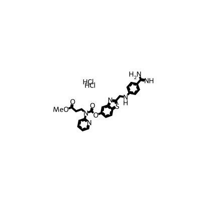 COC(=O)CCN(C(=O)Oc1ccc2sc(CNc3ccc(C(=N)N)cc3)nc2c1)c1ccccn1.Cl.Cl